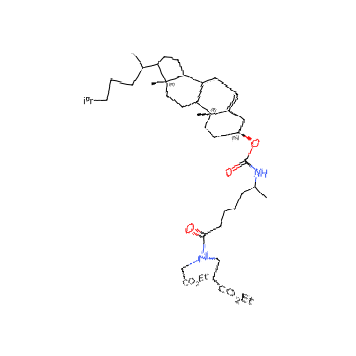 CCOC(=O)CCN(CC(=O)OCC)C(=O)CCCCC(C)NC(=O)O[C@H]1CC[C@@]2(C)C(=CCC3C4CCC(C(C)CCCC(C)C)[C@@]4(C)CCC32)C1